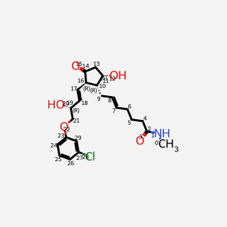 CNC(=O)CCCC=CC[C@H]1[C@@H](O)CC(=O)[C@@H]1C=C[C@@H](O)COc1cccc(Cl)c1